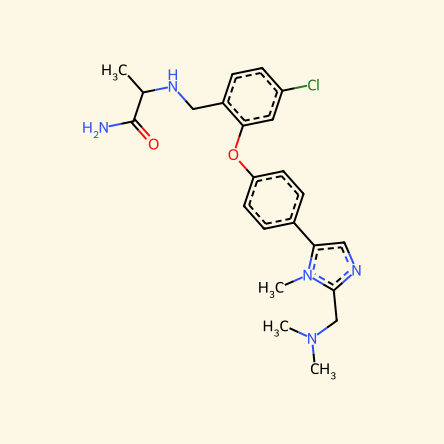 CC(NCc1ccc(Cl)cc1Oc1ccc(-c2cnc(CN(C)C)n2C)cc1)C(N)=O